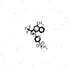 CC1Cc2c(C(F)(F)F)nn(-c3ccc(S(C)(=O)=O)cn3)c2-c2ccccc21